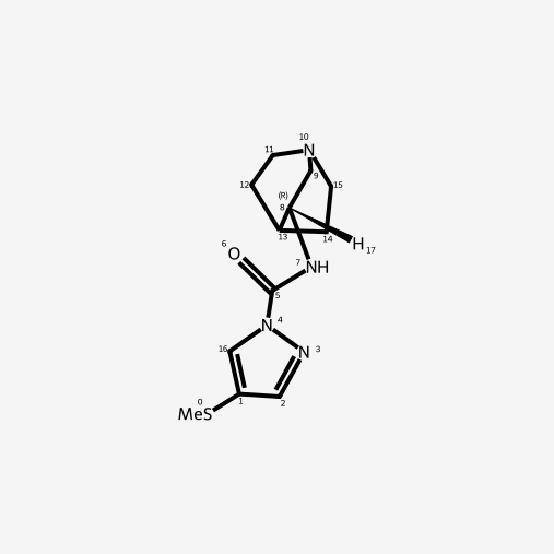 CSc1cnn(C(=O)N[C@H]2CN3CCC2CC3)c1